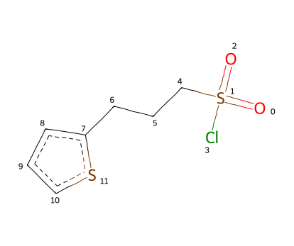 O=S(=O)(Cl)CCCc1cccs1